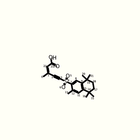 CC(C#CS(=O)(=O)c1cc2c(cc1C)C(C)(C)CCC2(C)C)=CC(=O)O